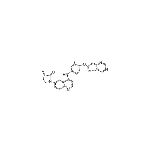 C=C1CCN(c2ccc3ncnc(Nc4ccc(Oc5ccc6cncnc6c5)c(C)c4)c3c2)C1=O